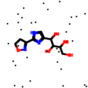 OCC(O)C(O)C(O)c1c[nH]c(C2=NOCC2)n1